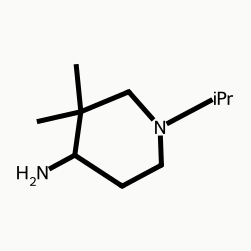 CC(C)N1CCC(N)C(C)(C)C1